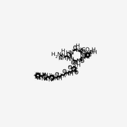 N=C(N)NCCC[C@@H]1NC(=O)[C@H](CSC2CC(=O)N(CCNC(=O)CCCC(=O)Nc3ccc(-c4nnc(-c5ccccn5)nn4)nc3)C2=O)NC(=O)[C@@H](Cc2ccc(O)cc2)NC(=O)[C@H](CC(=O)O)NC(=O)CNC1=O